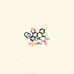 CC(C)(C)OC(=O)Nc1sc2c(F)ccc(-c3c4c(c5c(N6C7CCC6CN(C(=O)O)C7)cc(S(C)(=O)=O)nc5c3F)COC4)c2c1C#N